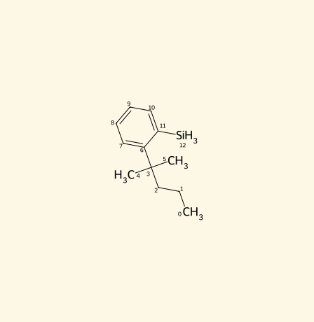 CCCC(C)(C)c1ccccc1[SiH3]